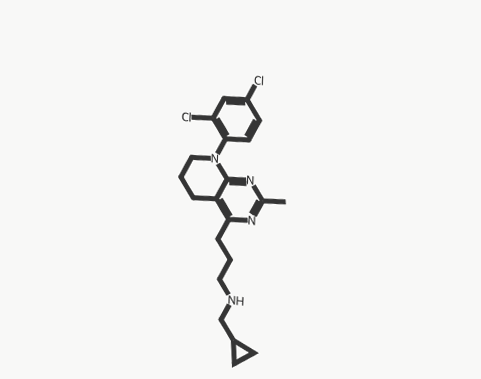 Cc1nc(CCCNCC2CC2)c2c(n1)N(c1ccc(Cl)cc1Cl)CCC2